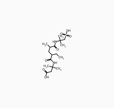 CCC(CC(C)C(=O)NC(C)(C)CS(=O)(=O)O)C(=O)NC(C)(C)CC(=O)O